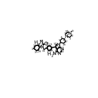 CN1CCN([C@H]2CC[C@@H](n3cc(-c4ccc(CN(C(N)=O)c5ccccc5)cc4)c4c(N)ncnc43)CC2)CC1